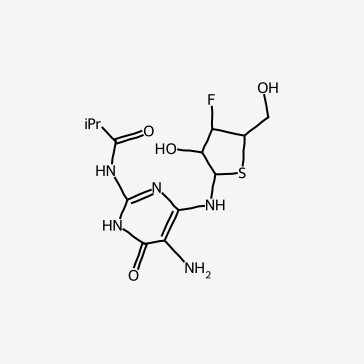 CC(C)C(=O)Nc1nc(NC2SC(CO)C(F)C2O)c(N)c(=O)[nH]1